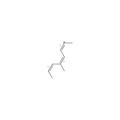 C\C=C/C(C)=C\C=P/C